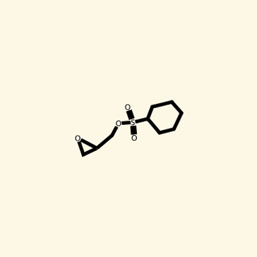 O=S(=O)(OCC1CO1)C1CCCCC1